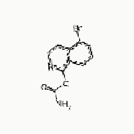 NC(=O)Oc1nccc2c(Br)cccc12